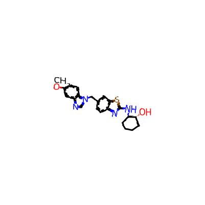 COc1ccc2c(c1)ncn2Cc1ccc2nc(N[C@@H]3CCCC[C@H]3O)sc2c1